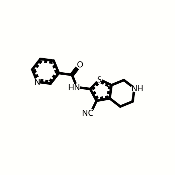 N#Cc1c(NC(=O)c2cccnc2)sc2c1CCNC2